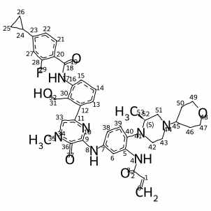 C=CC(=O)Nc1cc(Nc2nc(-c3cccc(NC(=O)c4ccc(C5CC5)cc4F)c3CO)cn(C)c2=O)ccc1N1CCN(C2CCOCC2)C[C@@H]1C